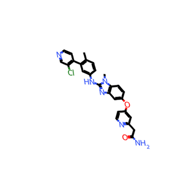 Cc1ccc(Nc2nc3cc(Oc4ccnc(CC(N)=O)c4)ccc3n2C)cc1-c1ccncc1Cl